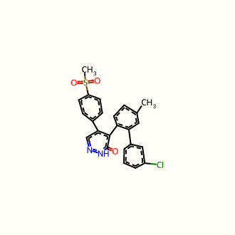 Cc1ccc(-c2c(-c3ccc(S(C)(=O)=O)cc3)cn[nH]c2=O)c(-c2cccc(Cl)c2)c1